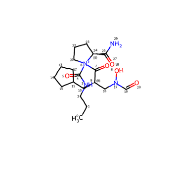 CCCNC(=O)[N+]1(C(=O)[C@H](CC2CCCC2)CN(O)C=O)CCC[C@H]1C(N)=O